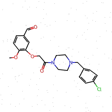 COc1ccc(C=O)cc1OCC(=O)N1CCN(Cc2ccc(Cl)cc2)CC1